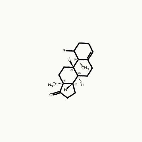 C[C@]12CC[C@H]3[C@@H](CCC4=CCCC(F)[C@@]43C)[C@@H]1CCC2=O